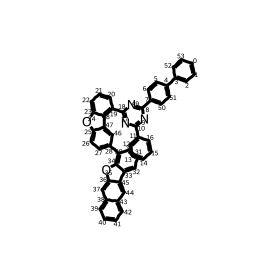 c1ccc(-c2ccc(-c3nc(-c4ccccc4)nc(-c4cccc5oc6ccc(-c7cccc8c7oc7cc9ccccc9cc78)cc6c45)n3)cc2)cc1